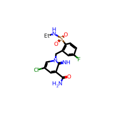 CCNS(=O)(=O)c1ccc(F)cc1Cn1cc(Cl)cc(C(N)=O)c1=N